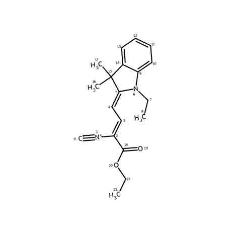 [C-]#[N+]C(=CC=C1N(CC)c2ccccc2C1(C)C)C(=O)OCC